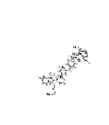 COCCCn1c(C2CCCN(C(=O)C[C@H](N)Cc3ccc(NC(=O)Nc4c(C)noc4C)cc3)C2)c(C)c2ccccc21